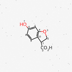 O=C(O)C1COc2cc(O)ccc21